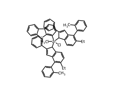 CCc1ccc2c(c1-c1ccccc1C)C=C(c1ccccc1)[CH]2[Zr]([Cl])([Cl])([c]1cccc2c1[SiH2]c1ccccc1-2)[CH]1C(c2ccccc2)=Cc2c1ccc(CC)c2-c1ccccc1C